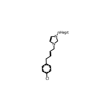 CCCCCCCN1C=CN(CC=CCc2ccc(Cl)cc2)C1